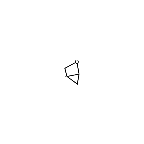 C1OC2C[C]12